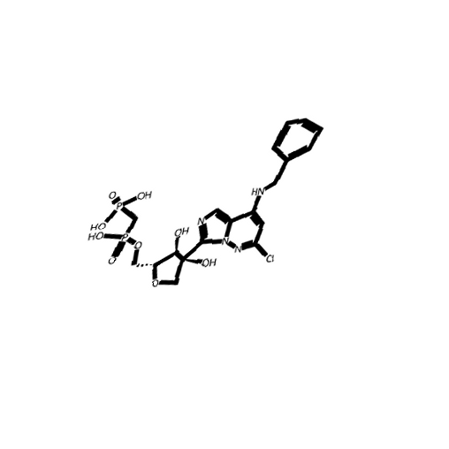 O=P(O)(O)CP(=O)(O)OC[C@H]1OC[C@@](O)(c2ncc3c(NCc4ccccc4)cc(Cl)nn23)[C@@H]1O